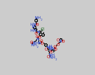 Cc1cccc2c(OC(=O)N(CCCNC(N)=O)CCN(C)C(=O)OCc3ccc(NC(=O)[C@H](CCCNC(N)=O)NC(=O)[C@@H](NC(=O)OCCOCCN4C(=O)C=CC4=O)C(C)C)cc3)cc3c(c12)[C@H](CCl)CN3C(=O)c1cc2cc(NC(=O)C3=CC=C(N)CC3)ncc2[nH]1